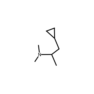 CC(CC1CC1)N(C)C